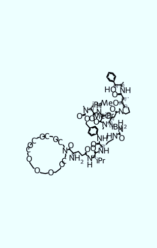 CC[C@H](C)[C@@H]([C@@H](CC(=O)N1CCC[C@H]1[C@H](OC)[C@@H](C)C(=O)N[C@H](C)[C@@H](O)c1ccccc1)OC)N(C)C(=O)[C@@H](NC(=O)[C@H](C(C)C)N(C)C(=O)OCc1ccc(NC(=O)[C@H](CCCNC(N)=O)NC(=O)[C@@H](NC(=O)CC[C@H](N)C(=O)N2CCOCCOCCOCCOCCOCCOCCOCC2)C(C)C)cc1)C(C)C